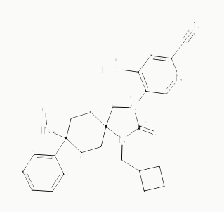 CNC1(c2ccccc2)CCC2(CC1)CN(c1cnc(C#N)cc1C)C(=O)N2CC1CCC1